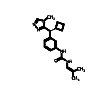 CC(C)=CNC(=O)Nc1cccc([C@H](c2nncn2C)C2CCC2)c1